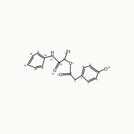 CCC(OC(=O)Cc1ccc(Cl)cc1)C(=O)Nc1ccccc1